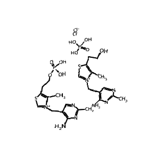 Cc1ncc(C[n+]2csc(CCO)c2C)c(N)n1.Cc1ncc(C[n+]2csc(CCOP(=O)(O)O)c2C)c(N)n1.O=P(O)(O)O.[Cl-].[Cl-]